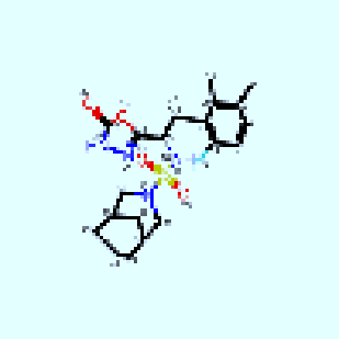 Cc1ccc(F)c([C@@H](C)[C@H](NS(=O)(=O)N2CC3CCCC(C3)C2)c2n[nH]c(=O)o2)c1C